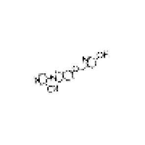 N#Cc1cnccc1N1Cc2ccc(OCc3ccc(O)cn3)cc2C1